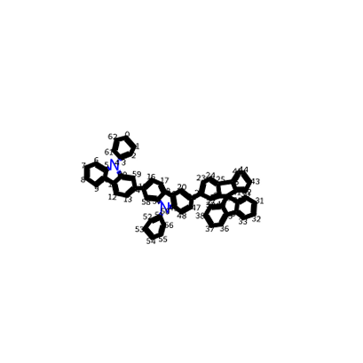 c1ccc(-n2c3ccccc3c3ccc(-c4ccc5c6cc(-c7ccc8c(c7)C7(c9ccccc9-c9ccccc97)c7ccccc7-8)ccc6n(-c6ccccc6)c5c4)cc32)cc1